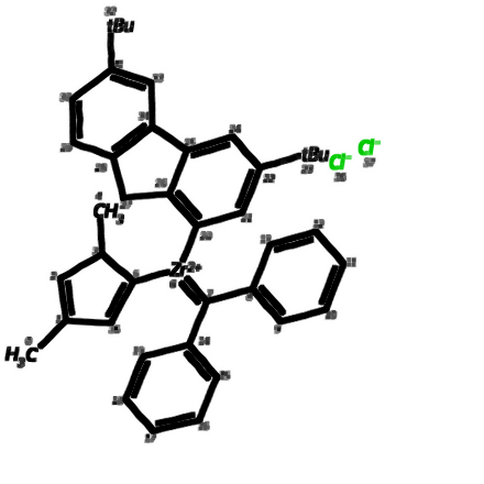 CC1=CC(C)[C]([Zr+2](=[C](c2ccccc2)c2ccccc2)[c]2cc(C(C)(C)C)cc3c2Cc2ccc(C(C)(C)C)cc2-3)=C1.[Cl-].[Cl-]